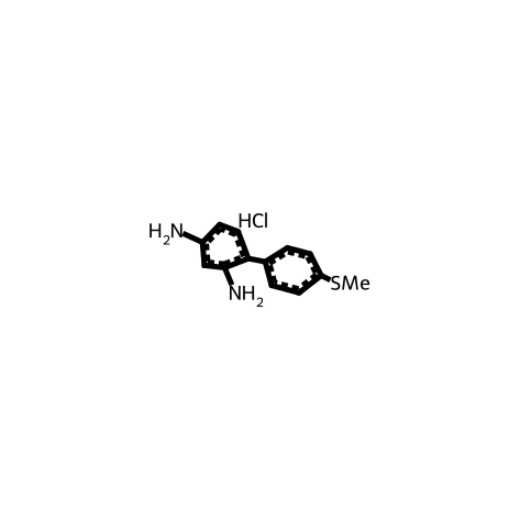 CSc1ccc(-c2ccc(N)cc2N)cc1.Cl